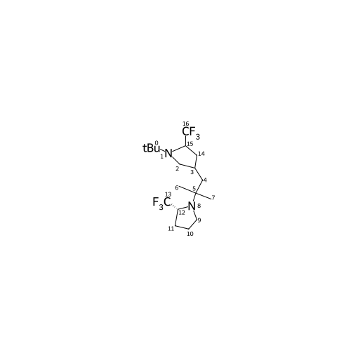 CC(C)(C)N1CC(CC(C)(C)N2CCC[C@@H]2C(F)(F)F)CC1C(F)(F)F